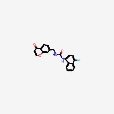 O=C(NCc1ccc2c(=O)ccoc2c1)Nc1ccc(F)c2ccccc12